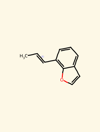 C/C=C/c1cccc2ccoc12